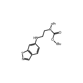 CCCN(CCNc1ccc2cnsc2c1)C(=O)OC(C)(C)C